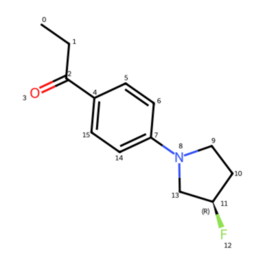 CCC(=O)c1ccc(N2CC[C@@H](F)C2)cc1